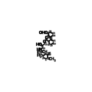 Cc1ccc(CC(C)(C)NC[C@@H](O)CO[C@H](C)c2ccccc2-c2cccc(C=O)c2)cc1F